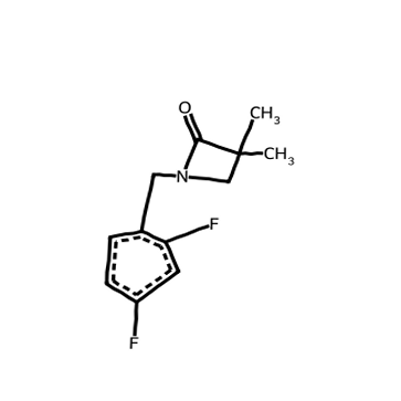 CC1(C)CN(Cc2ccc(F)cc2F)C1=O